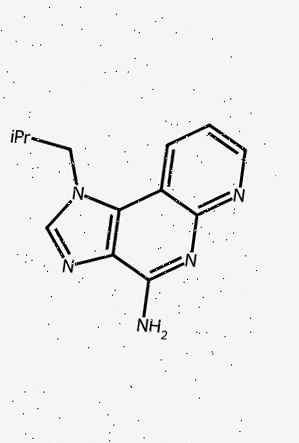 CC(C)Cn1cnc2c(N)nc3ncccc3c21